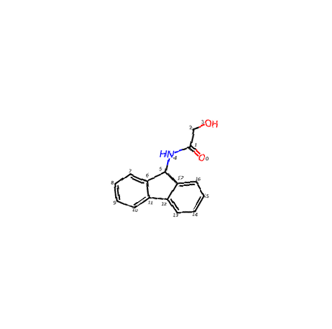 O=C(CO)NC1c2ccccc2-c2ccccc21